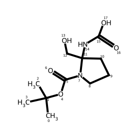 CC(C)(C)OC(=O)N1CCCC1(CO)NC(=O)O